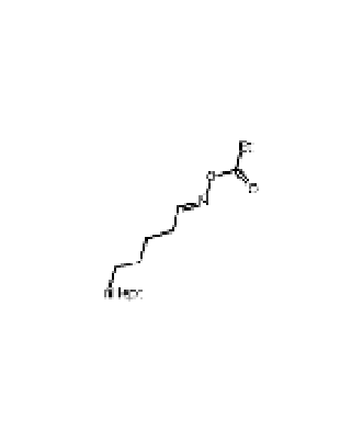 CCCCCCCCCCCC=NOC(=O)CC